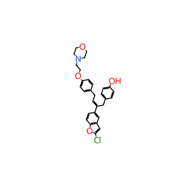 Oc1ccc(CC(=CCc2ccc(OCCN3CCOCC3)cc2)c2ccc3oc(Cl)cc3c2)cc1